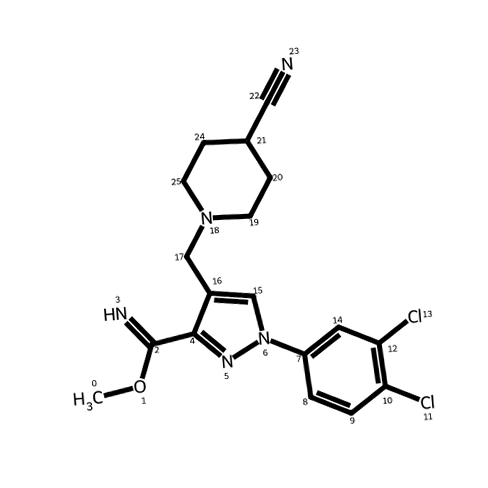 COC(=N)c1nn(-c2ccc(Cl)c(Cl)c2)cc1CN1CCC(C#N)CC1